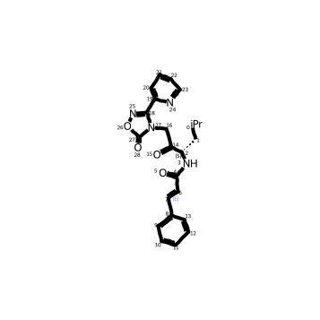 CC(C)C[C@H](NC(=O)/C=C/c1ccccc1)C(=O)Cn1c(-c2ccccn2)noc1=O